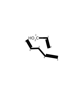 C=CC(=O)O.C=CCC=C